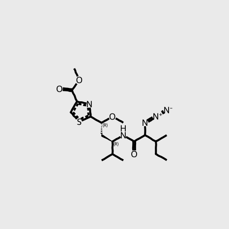 CCC(C)C(N=[N+]=[N-])C(=O)N[C@H](C[C@@H](OC)c1nc(C(=O)OC)cs1)C(C)C